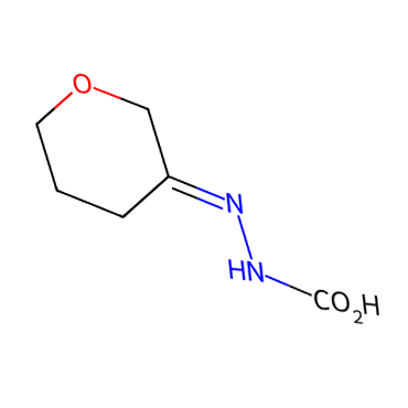 O=C(O)NN=C1CCCOC1